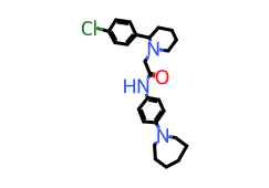 O=C(CN1CCCCC1c1ccc(Cl)cc1)Nc1ccc(N2CCCCCC2)cc1